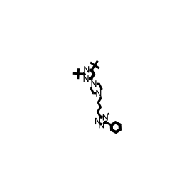 Cn1c(CCCCN2CCN(c3cc(C(C)(C)C)nc(C(C)(C)C)n3)CC2)nnc1-c1ccccc1